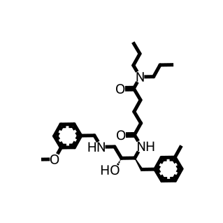 CCCN(CCC)C(=O)CCCC(=O)N[C@@H](Cc1cccc(C)c1)[C@H](O)CNCc1cccc(OC)c1